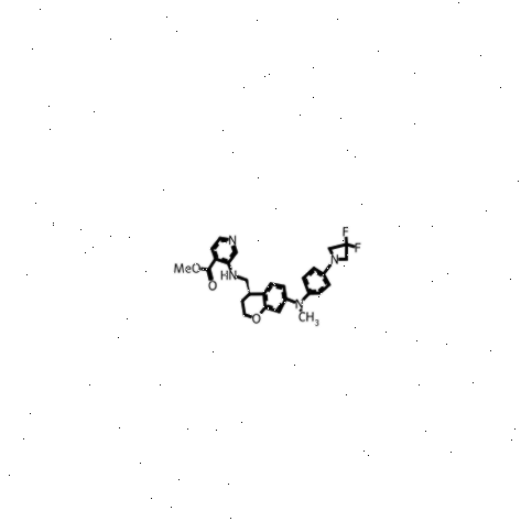 COC(=O)c1ccncc1NC[C@@H]1CCOc2cc(N(C)c3ccc(N4CC(F)(F)C4)cc3)ccc21